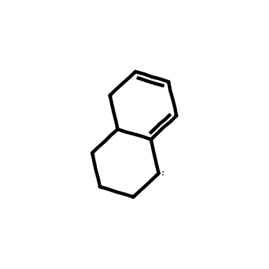 [C]1CCCC2CC=CC=C12